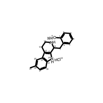 COc1ccccc1CC1NCCc2c1[nH]c1ccc(C)cc21.Cl